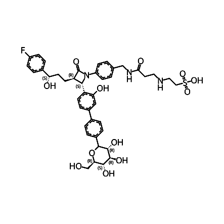 O=C(CCNCCS(=O)(=O)O)NCc1ccc(N2C(=O)[C@H](CC[C@H](O)c3ccc(F)cc3)[C@H]2c2ccc(-c3ccc(C4O[C@H](CO)[C@@H](O)[C@H](O)[C@H]4O)cc3)cc2O)cc1